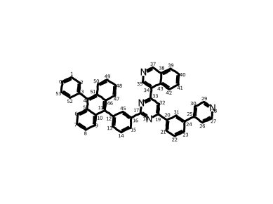 c1ccc(-c2c3ccccc3c(-c3cccc(-c4nc(-c5cccc(-c6ccncc6)c5)cc(-c5cncc6ccccc56)n4)c3)c3ccccc23)cc1